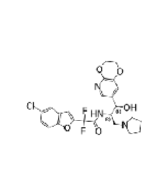 O=C(N[C@H](CN1CCCC1)[C@H](O)c1cnc2c(c1)OCCO2)C(F)(F)c1cc2cc(Cl)ccc2o1